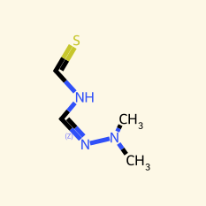 CN(C)/N=C\NC=S